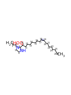 C=CC(O)N1CCNC1C(=O)CCCCCCC/C=C\CCCCCCCC